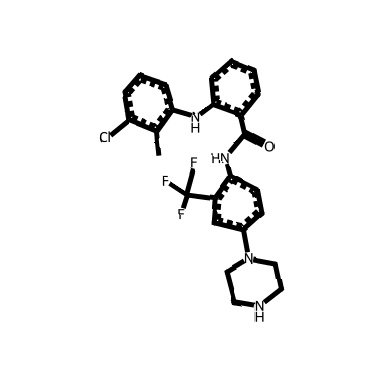 Cc1c(Cl)cccc1Nc1ccccc1C(=O)Nc1ccc(N2CCNCC2)cc1C(F)(F)F